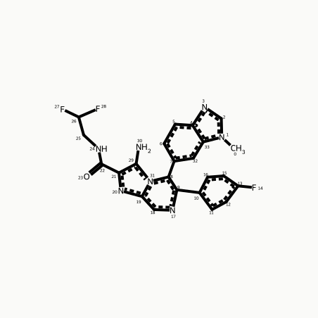 Cn1cnc2ccc(-c3c(-c4ccc(F)cc4)ncc4nc(C(=O)NCC(F)F)c(N)n34)cc21